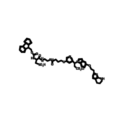 CCOC(=O)CC(c1cncc(OCCCC(=O)NCCNC(=O)C(CS(=O)(=O)O)NC(=O)OCC2c3ccccc3-c3ccccc32)c1)n1ccc2cc(OCCc3ccc4c(n3)NCCC4)ccc21